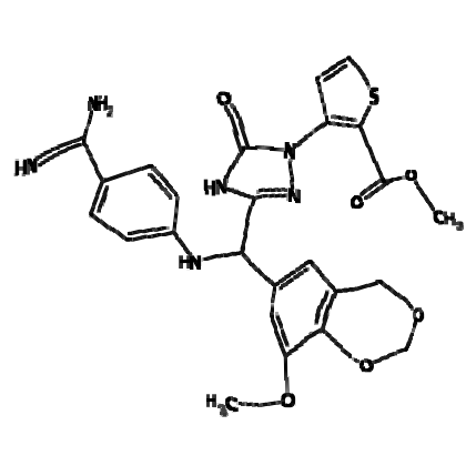 COC(=O)c1sccc1-n1nc(C(Nc2ccc(C(=N)N)cc2)c2cc3c(c(OC)c2)OCOC3)[nH]c1=O